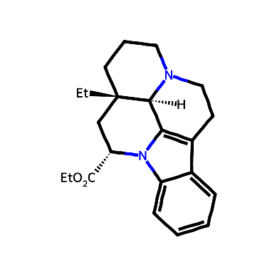 CCOC(=O)[C@@H]1C[C@]2(CC)CCCN3CCc4c(n1c1ccccc41)[C@H]32